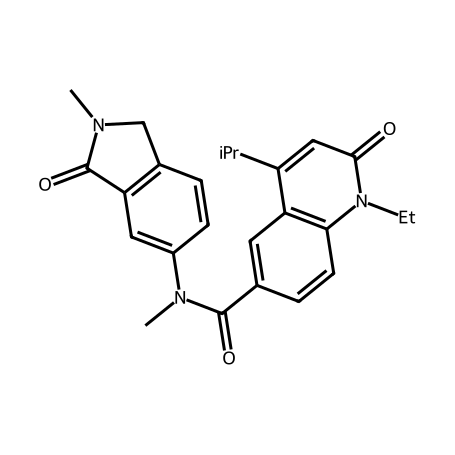 CCn1c(=O)cc(C(C)C)c2cc(C(=O)N(C)c3ccc4c(c3)C(=O)N(C)C4)ccc21